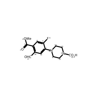 COC(=O)c1cc(F)c(N2CCN(C(=O)O)CC2)cc1C=O